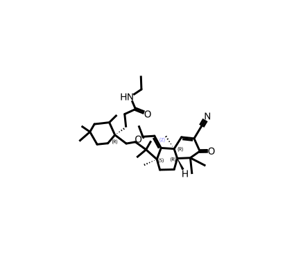 CCNC(=O)CC[C@]1(CCC(C)(C)[C@]2(C)CC[C@H]3C(C)(C)C(=O)C(C#N)=C[C@]3(C)/C2=C/C(C)=O)CCC(C)(C)CC1C